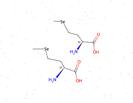 C[Se]CC[C@H](N)C(=O)O.C[Se]CC[C@H](N)C(=O)O